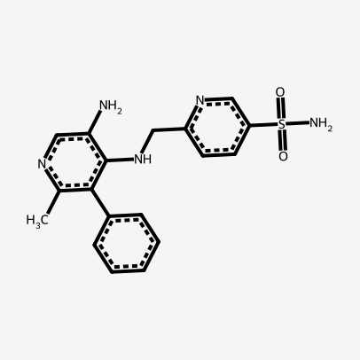 Cc1ncc(N)c(NCc2ccc(S(N)(=O)=O)cn2)c1-c1ccccc1